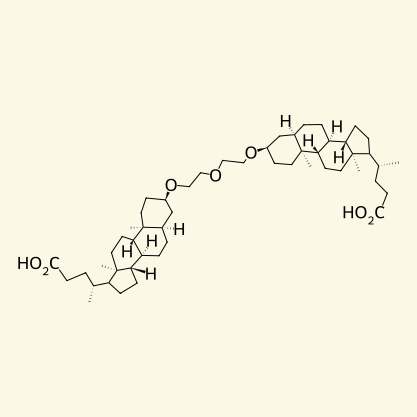 C[C@H](CCC(=O)O)C1CC[C@H]2[C@@H]3CC[C@@H]4C[C@H](OCCOCCO[C@@H]5CC[C@@]6(C)[C@H](CC[C@@H]7[C@@H]6CC[C@]6(C)C([C@H](C)CCC(=O)O)CC[C@@H]76)C5)CC[C@]4(C)[C@H]3CC[C@]12C